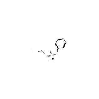 CCNS(=O)(=O)Nc1ccccc1